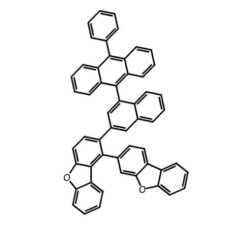 c1ccc(-c2c3ccccc3c(-c3cc(-c4ccc5oc6ccccc6c5c4-c4ccc5c(c4)oc4ccccc45)cc4ccccc34)c3ccccc23)cc1